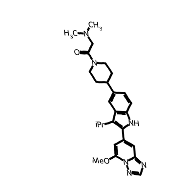 COc1cc(-c2[nH]c3ccc(C4CCN(C(=O)CN(C)C)CC4)cc3c2C(C)C)cc2ncnn12